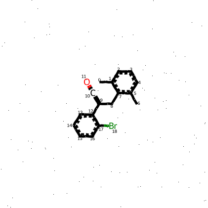 Cc1cccc(C)c1CC(=C=O)c1ccccc1Br